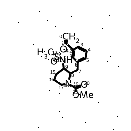 C=Cc1cccc(CC2C(NS(C)(=O)=O)CCCN2C(=O)OC)c1